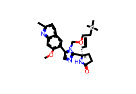 C=CC[C@]1(c2ncc(-c3cc4ccc(C)nc4cc3OC)n2COCC[Si](C)(C)C)CCC(=O)N1